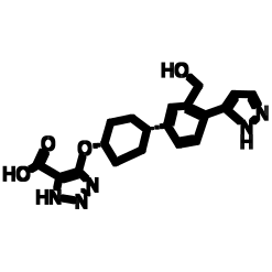 O=C(O)c1[nH]nnc1O[C@H]1CC[C@@H](c2ccc(-c3ccn[nH]3)c(CO)c2)CC1